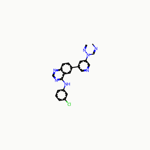 C=NN(/C=N\C)c1cncc(-c2ccc3ncnc(Nc4cccc(Cl)c4)c3c2)c1